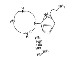 Br.Br.Br.Br.Br.Br.NCCc1nc2[nH]c1Cc1ccc(cc1)C2N1CCCNCCNCCCNCC1